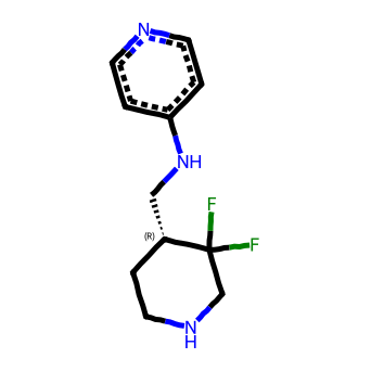 FC1(F)CNCC[C@@H]1CNc1ccncc1